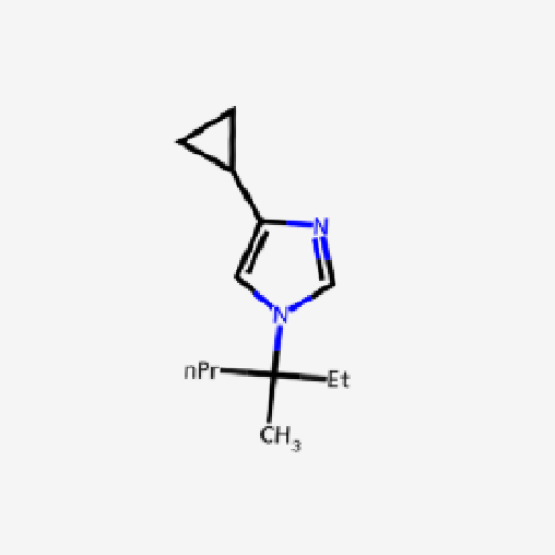 CCCC(C)(CC)n1cnc(C2CC2)c1